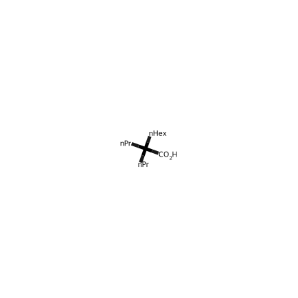 CCCCCCC(CCC)(CCC)C(=O)O